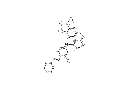 C[C@H](Oc1cccc2ncnc(Nc3ccc(OCC4CCCCO4)c(Cl)c3)c12)C(=O)N(C)C